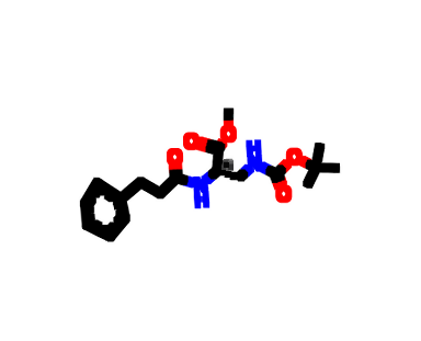 COC(=O)[C@H](CNC(=O)OC(C)(C)C)NC(=O)CCc1ccccc1